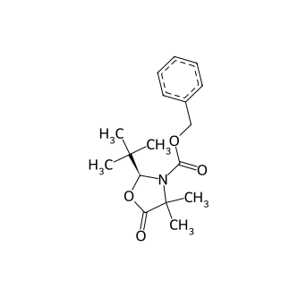 CC(C)(C)[C@@H]1OC(=O)C(C)(C)N1C(=O)OCc1ccccc1